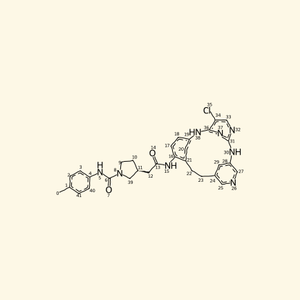 Cc1ccc(NC(=O)N2CC[C@@H](CC(=O)Nc3ccc4cc3CCc3cncc(c3)Nc3ncc(Cl)c(n3)N4)C2)cc1